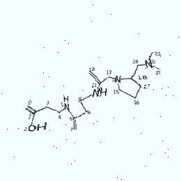 C=C(O)CCNC(=C)CCNC(=C)CN1CCCC1CN(C)C